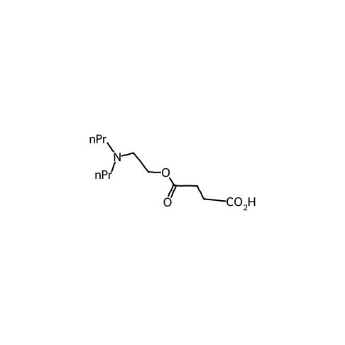 CCCN(CCC)CCOC(=O)CCC(=O)O